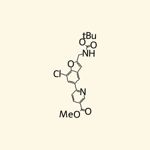 COC(=O)c1ccc(-c2cc(Cl)c3oc(CNC(=O)OC(C)(C)C)cc3c2)nc1